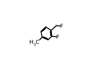 Cc1ccc([CH]F)c(F)c1